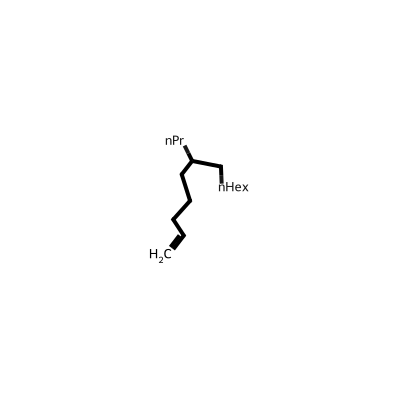 C=CCCCC(CCC)CCCCCCC